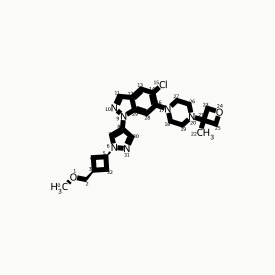 COC[C@H]1C[C@H](n2cc(-n3ncc4cc(Cl)c(N5CCN(C6(C)COC6)CC5)cc43)cn2)C1